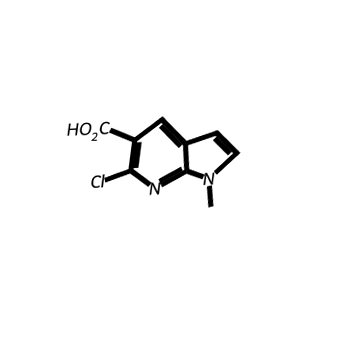 Cn1ccc2cc(C(=O)O)c(Cl)nc21